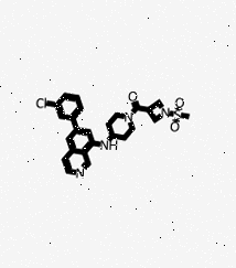 CS(=O)(=O)N1CC(C(=O)N2CCC(Nc3cc(-c4cccc(Cl)c4)cc4ccncc34)CC2)C1